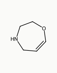 C1=COCCNC1